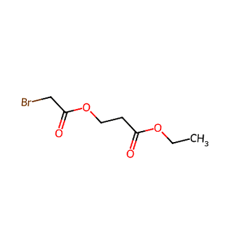 CCOC(=O)CCOC(=O)CBr